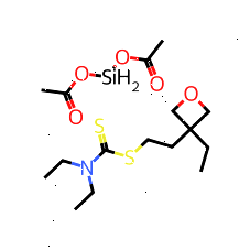 CC(=O)O[SiH2]OC(C)=O.CCN(CC)C(=S)SCCC1(CC)COC1